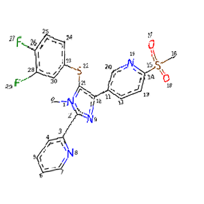 Cn1c(-c2ccccn2)nc(-c2ccc(S(C)(=O)=O)nc2)c1Sc1ccc(F)c(F)c1